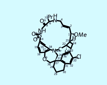 CO[C@@H]1/C=C/CNC(C(C)C)C(=O)NS(=O)(=O)c2ccc3c(c2)N(C[C@@H]2CC[C@H]21)C[C@@]1(CCCc2cc(Cl)ccc21)CO3